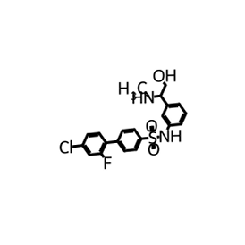 CNC(CO)c1cccc(NS(=O)(=O)c2ccc(-c3ccc(Cl)cc3F)cc2)c1